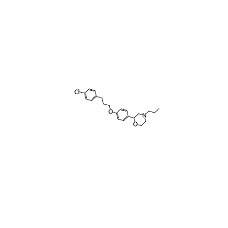 CCCN1CCOC(c2ccc(OCCCc3ccc(Cl)cc3)cc2)C1